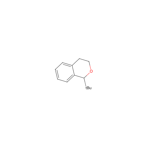 CC(C)(C)C1OCCc2ccccc21